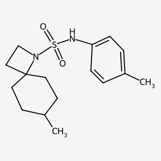 Cc1ccc(NS(=O)(=O)N2CCC23CCC(C)CC3)cc1